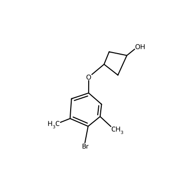 Cc1cc(OC2CC(O)C2)cc(C)c1Br